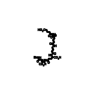 CCNC(=O)CC[C@@H](NC(=O)CC[C@@H](NC(=O)CCCNC(=O)CCCS(=O)(=O)NC(=O)CCCC(=O)O)C(=O)O)C(=O)O